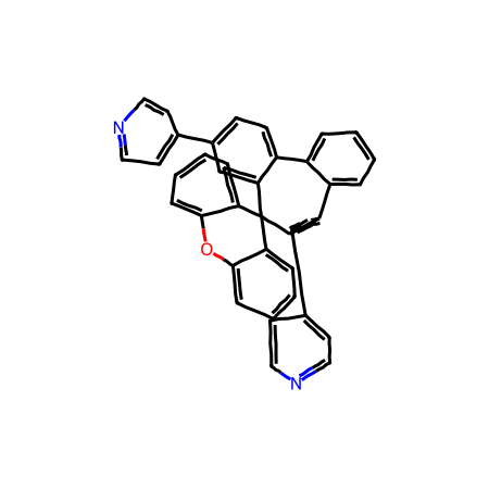 c1ccc2c(c1)Oc1ccccc1C21c2cc(-c3ccncc3)ccc2-c2ccccc2-c2ccc(-c3ccncc3)cc21